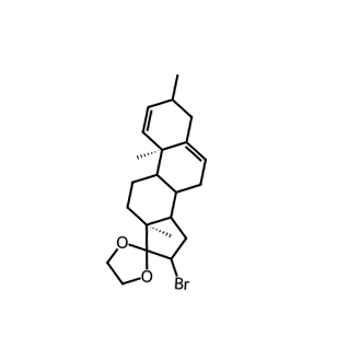 CC1C=C[C@@]2(C)C(=CCC3C2CC[C@@]2(C)C3CC(Br)C23OCCO3)C1